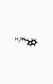 NCCCC1=CCc2ccccc21